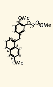 COOSOc1cc(CC2=NCCc3cc(OC)ccc32)ccc1OC